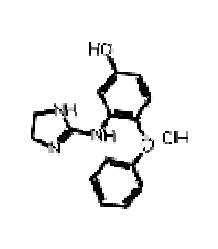 Cl.Oc1ccc(Oc2ccccc2)c(NC2=NCCN2)c1